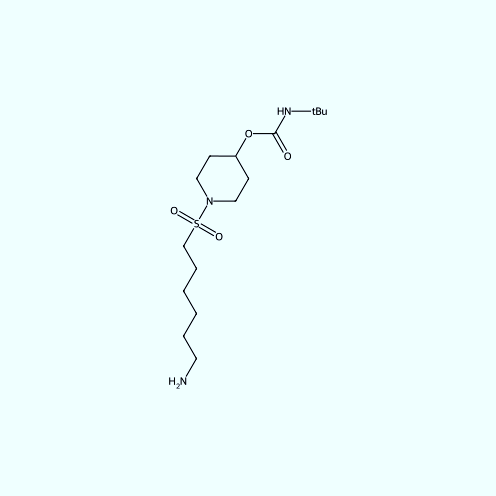 CC(C)(C)NC(=O)OC1CCN(S(=O)(=O)CCCCCCN)CC1